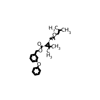 CC(C)CON=C[C@H]1[C@@H](C(=O)OCc2cccc(Oc3ccccc3)c2)C1(C)C